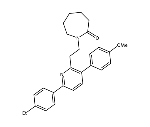 CCc1ccc(-c2ccc(-c3ccc(OC)cc3)c(CCN3CCCCCC3=O)n2)cc1